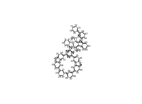 CC(C)c1c2c3ccccc3n(-c3nc(-c4ccc5sc6ccc(-c7ccccc7)cc6c5c4)nc(-c4ccc5sc6ccc(-c7ccccc7)cc6c5c4)n3)c2c(C(C)C)c2c3ccccc3n(-c3cccc(-c4ccccc4)n3)c12